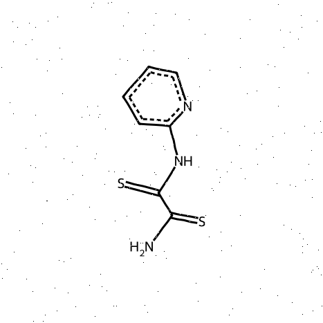 NC(=S)C(=S)Nc1ccccn1